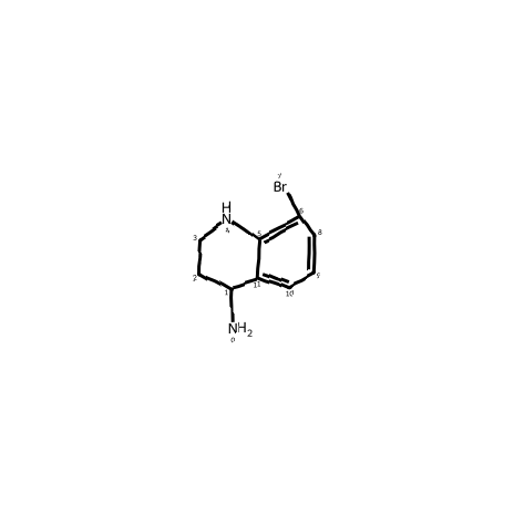 NC1CCNc2c(Br)cccc21